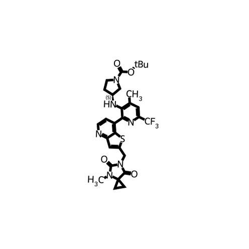 Cc1cc(C(F)(F)F)nc(-c2ccnc3cc(CN4C(=O)N(C)C5(CC5)C4=O)sc23)c1N[C@H]1CCN(C(=O)OC(C)(C)C)C1